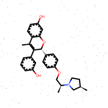 CC1=C(c2cccc(O)c2)[C@@H](c2ccc(OC[C@H](C)N3CC[C@@H](C)C3)cc2)Oc2cc(O)ccc21